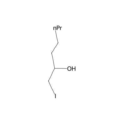 CCCCCC(O)CI